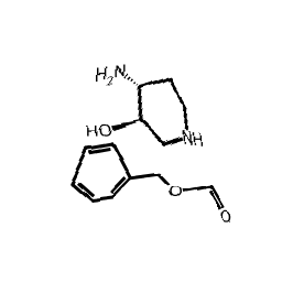 N[C@@H]1CCNC[C@H]1O.O=COCc1ccccc1